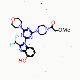 COCC(=O)N1CCN(c2nc(N3CCOCC3)nc(-n3c(C(F)F)nc4c(O)cccc43)n2)CC1